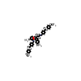 Nc1ccc(CC(Cc2ccc(N)cc2)(C(O)C(=O)/C=C/c2ccc(C(=O)Oc3ccc(OC(F)(F)F)cc3)cc2)C(O)C(=O)/C=C/c2ccc(C(=O)Oc3ccc(OC(F)(F)F)cc3)cc2)cc1